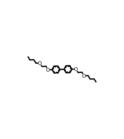 CCCCOCCOc1ccc(-c2ccc(OCCOCCCC)cc2)cc1